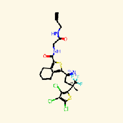 C#CCNC(=O)CNC(=O)c1sc(/C(C[C@@](C)(c2sc(Cl)c(Cl)c2Cl)C(F)(F)F)=N/C)c2c1CCCC2